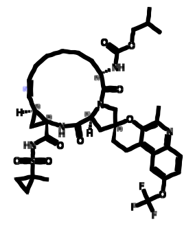 Cc1nc2ccc(OC(F)(F)F)cc2c2c1O[C@]1(CC2)C[C@H]2C(=O)N[C@]3(C(=O)NS(=O)(=O)C4(C)CC4)C[C@H]3/C=C\CCCCC[C@H](NC(=O)OCC(C)C)C(=O)N2C1